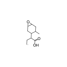 [CH2]CC(C(=O)O)C1CC2OC2CC1C